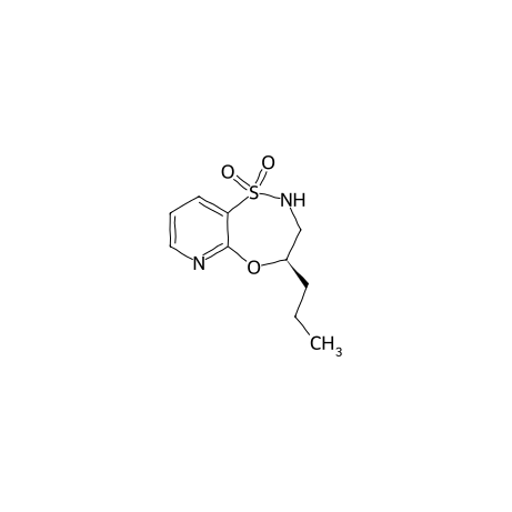 CCC[C@@H]1CNS(=O)(=O)c2cccnc2O1